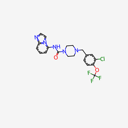 O=C(Nc1cccc2nccn12)N1CCN(Cc2ccc(OC(F)(F)F)c(Cl)c2)CC1